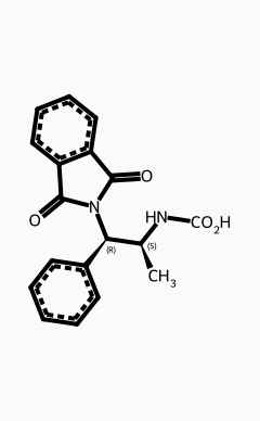 C[C@H](NC(=O)O)[C@@H](c1ccccc1)N1C(=O)c2ccccc2C1=O